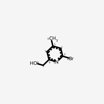 Cc1cc(Br)nc(CO)c1